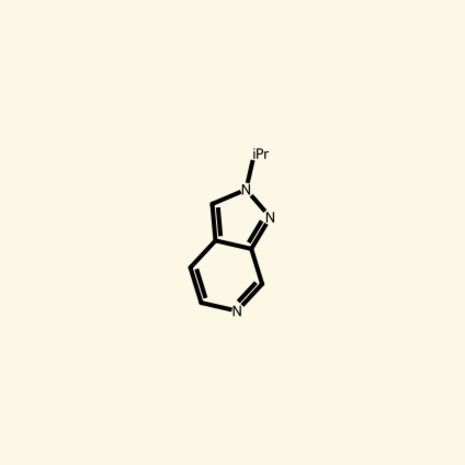 CC(C)n1cc2ccncc2n1